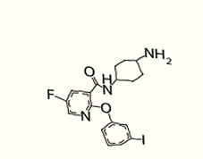 NC1CCC(NC(=O)c2cc(F)cnc2Oc2cccc(I)c2)CC1